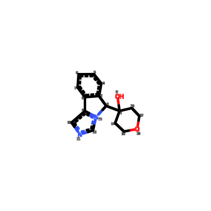 OC1(C2c3ccccc3-c3cncn32)CCOCC1